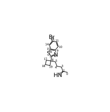 CC(=N)CCCC1(c2nc3ccc(Br)cc3s2)CCC1